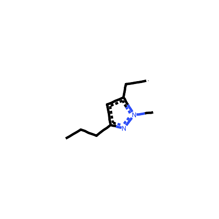 [CH2]Cc1cc(CCC)nn1C